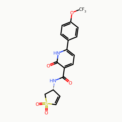 O=C(N[C@@H]1C=CS(=O)(=O)C1)c1ccc(-c2ccc(OC(F)(F)F)cc2)[nH]c1=O